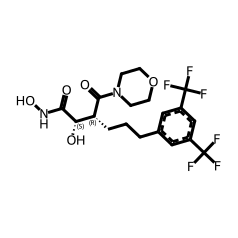 O=C(NO)[C@@H](O)[C@@H](CCCc1cc(C(F)(F)F)cc(C(F)(F)F)c1)C(=O)N1CCOCC1